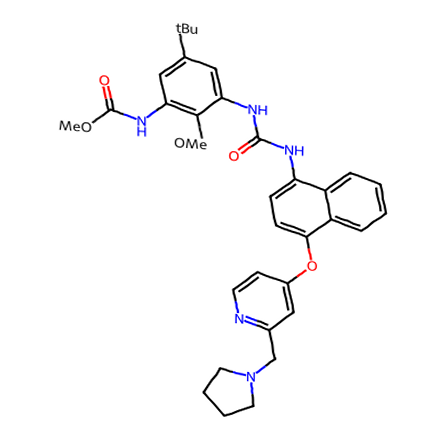 COC(=O)Nc1cc(C(C)(C)C)cc(NC(=O)Nc2ccc(Oc3ccnc(CN4CCCC4)c3)c3ccccc23)c1OC